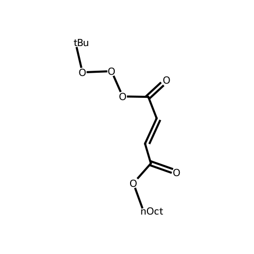 CCCCCCCCOC(=O)C=CC(=O)OOOC(C)(C)C